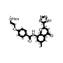 CCCCCC/C=C/Oc1ccc(C(=O)Nc2cc(C)cc3c(=O)cc(-c4nnn[nH]4)oc23)cc1